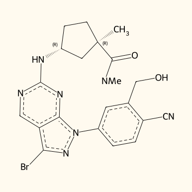 CNC(=O)[C@]1(C)CC[C@@H](Nc2ncc3c(Br)nn(-c4ccc(C#N)c(CO)c4)c3n2)C1